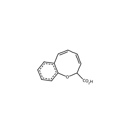 O=C(O)C1C=CC=Cc2ccccc2O1